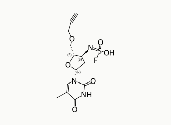 C#CCOC[C@H]1O[C@@H](n2cc(C)c(=O)[nH]c2=O)C[C@@H]1N=S(=O)(O)F